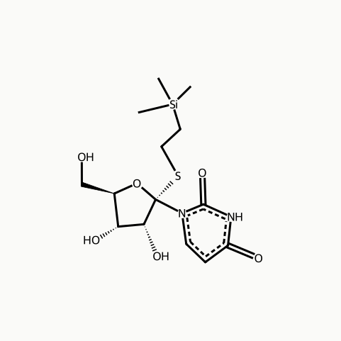 C[Si](C)(C)CCS[C@@]1(n2ccc(=O)[nH]c2=O)O[C@H](CO)[C@@H](O)[C@H]1O